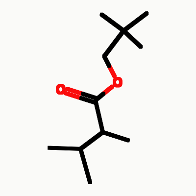 CC(C)C(C)C(=O)OCC(C)(C)C